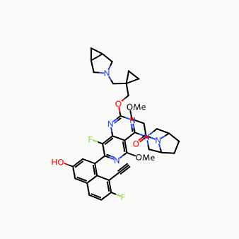 C#Cc1c(F)ccc2cc(O)cc(-c3nc(OC)c4c(N5CC6CCC(C5)N6C(=O)CCOC)nc(OCC5(CN6CC7CC7C6)CC5)nc4c3F)c12